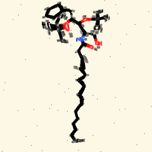 CCCCCCCCCCCCCCCCCCCCCCCC(=O)N[C@@H](CO)C(O[Si](C)(C)C(C)(C)C)[C@@H](CC1CCCC1)O[Si](C)(C)C(C)(C)C